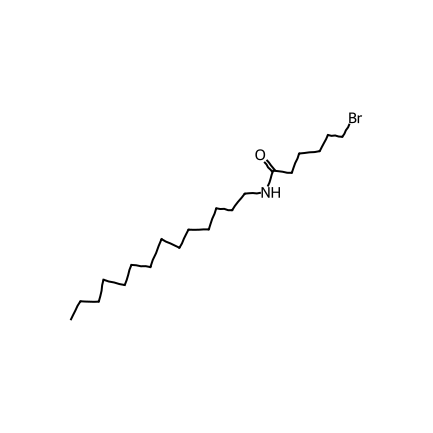 CCCCCCCCCCCCCCNC(=O)CCCCCBr